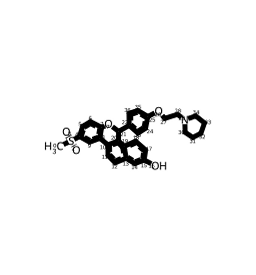 CS(=O)(=O)c1ccc2c(c1)-c1ccc3cc(O)ccc3c1C(c1ccc(OCCN3CCCCC3)cc1)O2